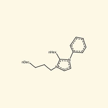 CCCCCCCCCCCCC[n+]1ccn(-c2ccccc2)c1CCCCCC